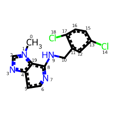 Cn1cnc2ccnc(NCc3cc(Cl)ccc3Cl)c21